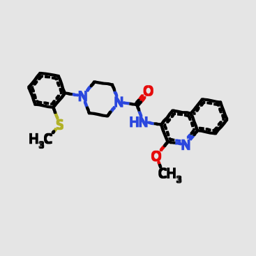 COc1nc2ccccc2cc1NC(=O)N1CCN(c2ccccc2SC)CC1